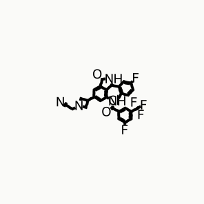 N#CCN1CC(c2cc(NC(=O)c3cc(F)cc(C(F)(F)F)c3)c3c(c2)C(=O)NC3c2cc(F)ccc2Cl)C1